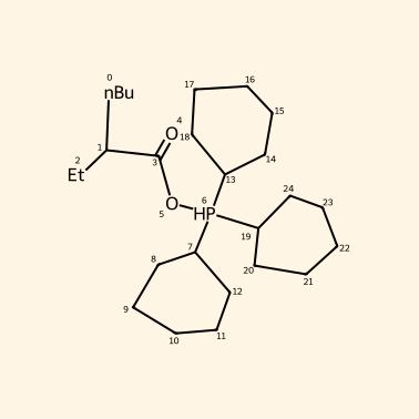 CCCCC(CC)C(=O)O[PH](C1CCCCC1)(C1CCCCC1)C1CCCCC1